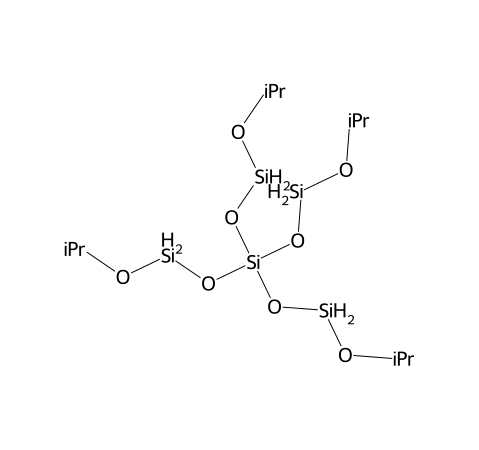 CC(C)O[SiH2]O[Si](O[SiH2]OC(C)C)(O[SiH2]OC(C)C)O[SiH2]OC(C)C